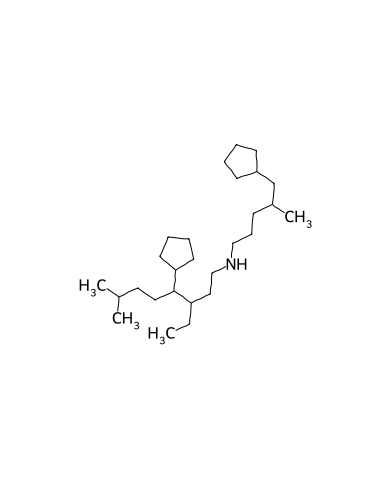 CCC(CCNCCCC(C)CC1CCCC1)C(CCC(C)C)C1CCCC1